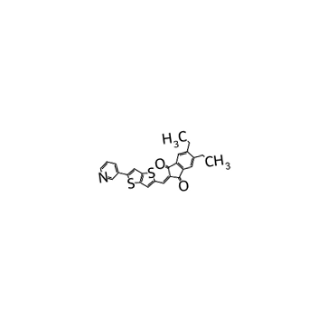 CCc1cc2c(cc1CC)C(=O)C(=Cc1cc3sc(-c4cccnc4)cc3s1)C2=O